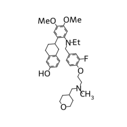 CCN(Cc1ccc(OCCN(C)CC2CCOCC2)c(F)c1)c1cc(OC)c(OC)cc1C1CCc2cc(O)ccc2C1